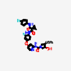 COC1CN(C(=O)Nc2cc(Oc3ccc(NC(=O)C4(C(=O)Nc5ccc(F)cc5)CC4)c(F)c3)ccn2)CC1O